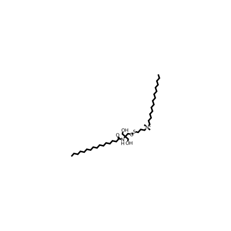 CCCCCCCCCCCCCCCC[N+](C)(C)CCCSOCC(CO)(CO)NC(=O)CCCCCCCCCCCCCCC